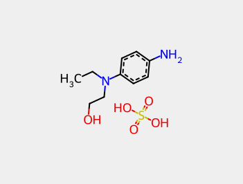 CCN(CCO)c1ccc(N)cc1.O=S(=O)(O)O